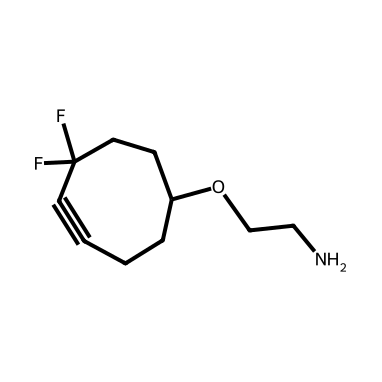 NCCOC1CCC#CC(F)(F)CC1